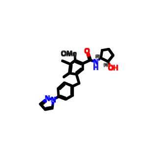 COc1c(C(=O)N[C@@H]2CCC[C@H]2O)cc(Cc2ccc(-n3cccn3)cc2)c(C)c1C